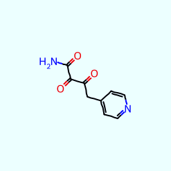 NC(=O)C(=O)C(=O)Cc1ccncc1